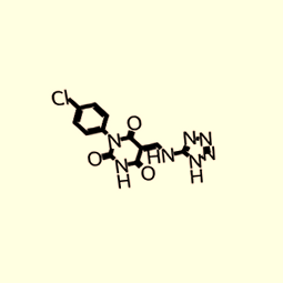 O=C1NC(=O)N(c2ccc(Cl)cc2)C(=O)C1=CNc1nnn[nH]1